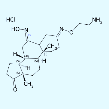 C[C@]12CCC(=NOCCN)CC1/C(=N/O)C[C@@H]1[C@@H]2CC[C@]2(C)C(=O)CC[C@@H]12.Cl